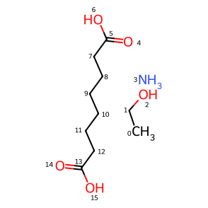 CCO.N.O=C(O)CCCCCCC(=O)O